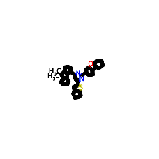 CC1(C)c2ccccc2-c2c(-c3cc(-c4cc5ccccc5s4)nc(-c4ccc5c(c4)oc4ccccc45)n3)cccc21